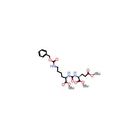 CC(C)(C)OC(=O)CC[C@H](NC(=O)NC(CCCCNC(=O)OCc1ccccc1)C(=O)OC(C)(C)C)C(=O)OC(C)(C)C